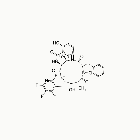 C[C@H]1NC(=O)C(Cc2ccccc2)N(C)C(=O)[C@H](C)[C@H](O)[C@H](Cc2c(F)nc(F)c(F)c2F)NC(=O)[C@H]1NC(=O)c1ncccc1O